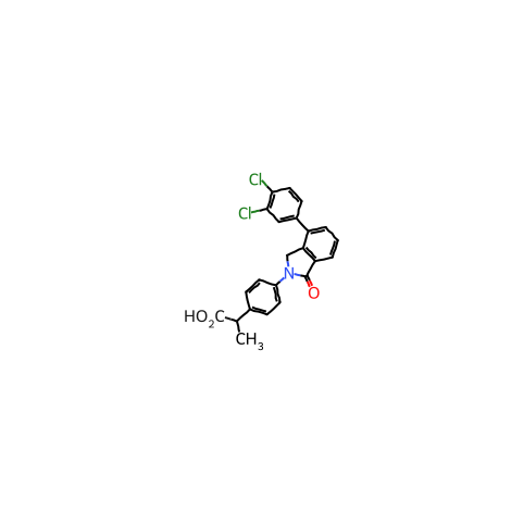 CC(C(=O)O)c1ccc(N2Cc3c(cccc3-c3ccc(Cl)c(Cl)c3)C2=O)cc1